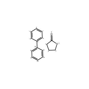 O=C1CCCO1.c1ccc(-c2ccccc2)cc1